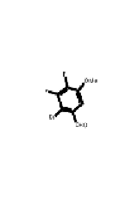 COc1cc(C=O)c(Br)c(F)c1F